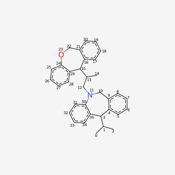 CC(C)C1c2ccccc2CN(CC(C)C2c3ccccc3COc3ccccc32)c2ccccc21